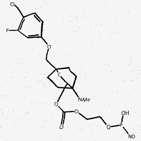 CNC12CCC(COc3ccc(Cl)c(F)c3)(CC1)CC2OC(=O)OCCOP(O)N=O